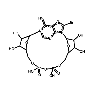 N=c1c2nc(Br)n3c2ncn1C1OC(COP(=O)(O)OP(=O)(O)OCC2OC3C(O)C2O)C(O)C1O